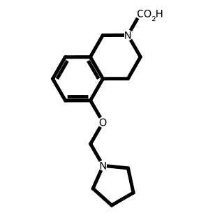 O=C(O)N1CCc2c(cccc2OCN2CCCC2)C1